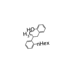 CCCCCCc1ccccc1C(C)Cc1ccccc1O